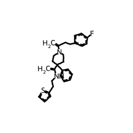 C=C(CCc1ccc(F)cc1)N1CCC(C(=C)NCCc2cccs2)(c2ccccc2)CC1